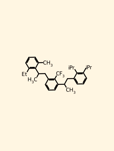 CCc1cccc(C)c1C(C)Cc1cccc(C(C)Cc2cccc(C(C)C)c2C(C)C)c1C(F)(F)F